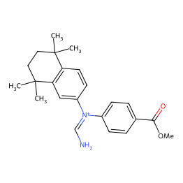 COC(=O)c1ccc([N+](=CN)c2ccc3c(c2)C(C)(C)CCC3(C)C)cc1